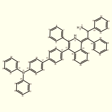 NC(/C(=C1\NC(c2ccccc2)=C(c2ccc(-c3ccc(N(c4ccccc4)c4ccccc4)cc3)cc2)c2ccccc21)c1ccccc1)c1ccccc1